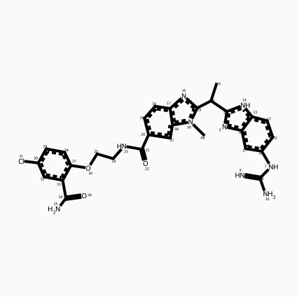 CC(c1nc2cc(NC(=N)N)ccc2[nH]1)c1nc2ccc(C(=O)NCCOc3ccc(Cl)cc3C(N)=O)cc2n1C